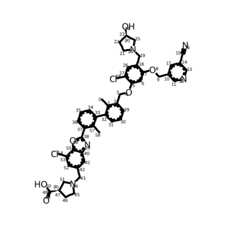 Cc1c(COc2cc(OCc3cncc(C#N)c3)c(CN3CC[C@@H](O)C3)cc2Cl)cccc1-c1cccc(-c2nc3cc(CN4CC[C@@H](C(=O)O)C4)cc(Cl)c3o2)c1C